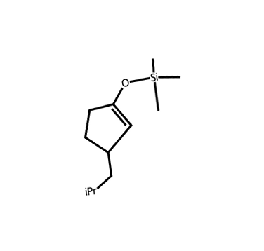 CC(C)CC1C=C(O[Si](C)(C)C)CC1